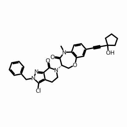 CN1C(=O)[C@@H](N2CCc3c(nn(Cc4ccccc4)c3Cl)C2=O)COc2cc(C#CC3(O)CCCC3)ccc21